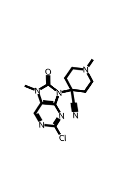 CN1CCC(C#N)(n2c(=O)n(C)c3cnc(Cl)nc32)CC1